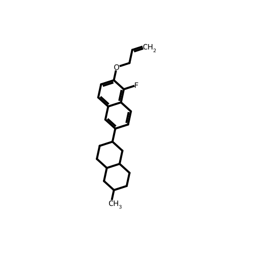 C=CCOc1ccc2cc(C3CCC4CC(C)CCC4C3)ccc2c1F